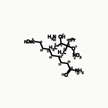 CCCC(C)(O[N+](=O)[O-])C(C)O.CCCCCCCCCCCCCCCCCC(N)=O.N